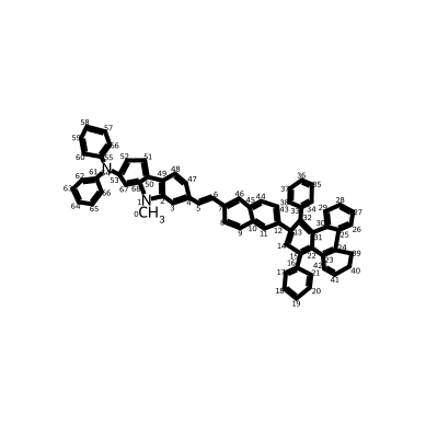 Cn1c2cc(/C=C/c3ccc4cc(-c5cc(-c6ccccc6)c6c7c(c8ccccc8c6c5-c5ccccc5)CCC=C7)ccc4c3)ccc2c2ccc(N(c3ccccc3)c3ccccc3)cc21